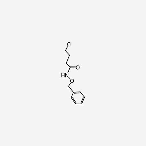 O=C(CCCCl)NOCc1ccccc1